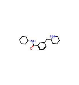 O=C(NC1CCCCC1)c1cccc(C[C@@H]2CCCCN2)c1